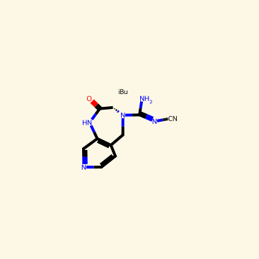 CC[C@H](C)[C@H]1C(=O)Nc2cnccc2CN1/C(N)=N/C#N